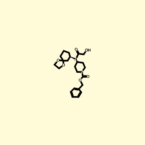 O=C(OCc1ccccc1)N1CCC(N(C(=O)CO)[C@@H]2CCCC3(C2)OCCO3)CC1